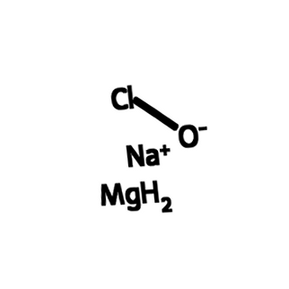 [MgH2].[Na+].[O-]Cl